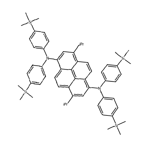 CC(C)c1cc(N(c2ccc([Si](C)(C)C)cc2)c2ccc([Si](C)(C)C)cc2)c2ccc3c(C(C)C)cc(N(c4ccc([Si](C)(C)C)cc4)c4ccc([Si](C)(C)C)cc4)c4ccc1c2c34